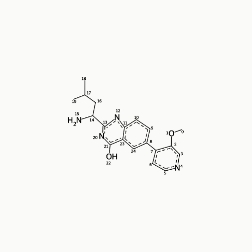 COc1cnccc1-c1ccc2nc(C(N)CC(C)C)nc(O)c2c1